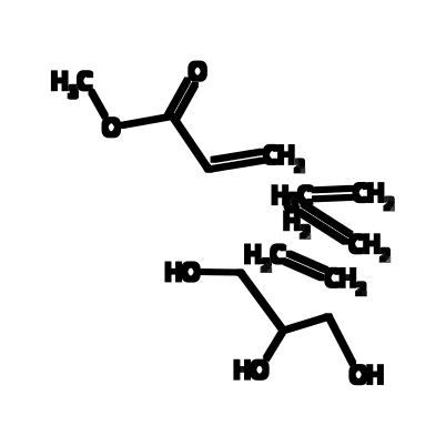 C=C.C=C.C=C.C=CC(=O)OC.OCC(O)CO